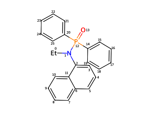 CCN(c1cccc2ccccc12)P(=O)(c1ccccc1)c1ccccc1